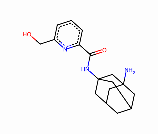 NC12CC3CC(C1)CC(NC(=O)c1cccc(CO)n1)(C3)C2